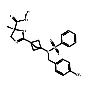 CC(C)NC(=O)[C@@]1(C)CN=C(C23CC(N(Cc4ccc(C(F)(F)F)cc4)S(=O)(=O)c4ccccc4)(C2)C3)N1